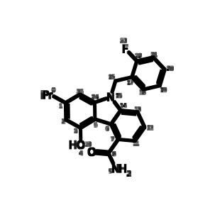 CC(C)c1cc(O)c2c3c(C(N)=O)cccc3n(Cc3ccccc3F)c2c1